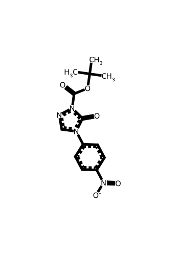 CC(C)(C)OC(=O)n1ncn(-c2ccc([N+](=O)[O-])cc2)c1=O